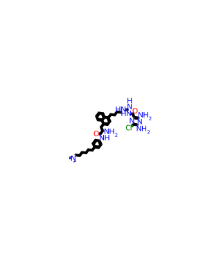 CN(C)CCCCCCc1ccc(NC(=O)[C@@H](N)Cc2ccc(CCCCNC(=N)NC(=O)c3nc(Cl)c(N)nc3N)c3ccccc23)cc1